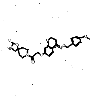 COc1ccc(CON=C2CCOc3cc(OCC(=O)N4CCC5(CC4)CNC(=O)O5)ccc32)cc1